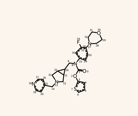 O=C(Oc1cccs1)N(CC1C2CN(Cc3ccncc3)CC21)c1ccc(N2CCOCC2)c(F)c1